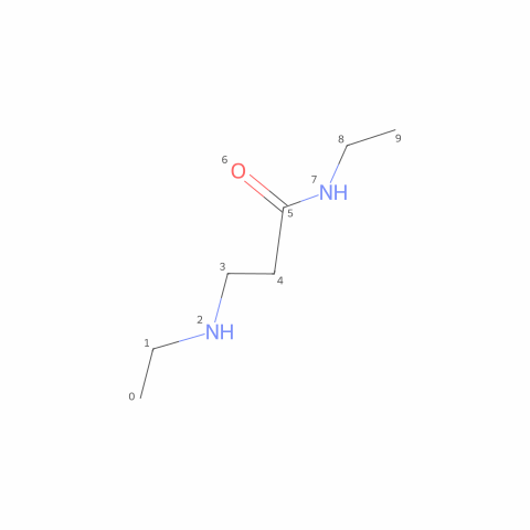 CCNCCC(=O)NCC